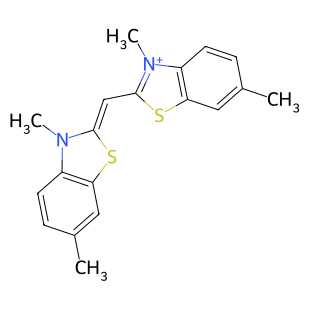 Cc1ccc2c(c1)S/C(=C\c1sc3cc(C)ccc3[n+]1C)N2C